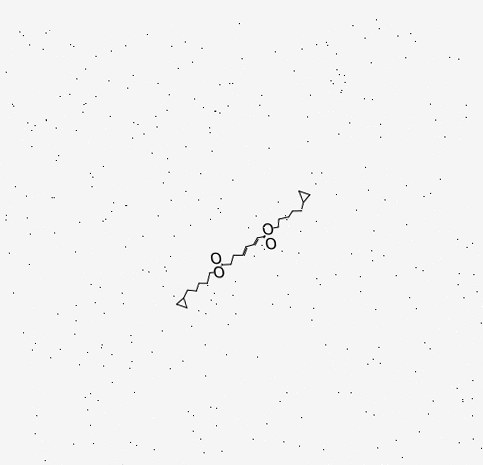 O=C(C=CC=CCCC(=O)OCCCCCC1CC1)OCCCCCC1CC1